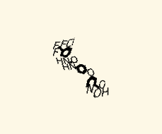 O=C(Nc1ccc(Oc2ccnc(C(=O)O)c2)cc1)Nc1ccc(Cl)c(C(F)(F)F)c1